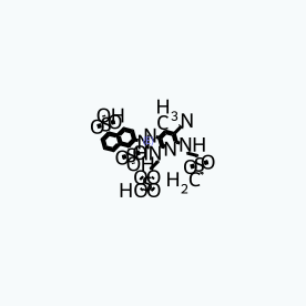 C=CS(=O)(=O)CCNc1nc(NCCOS(=O)(=O)O)c(/N=N/c2ccc3c(S(=O)(=O)O)cccc3c2S(=O)(=O)O)c(C)c1C#N